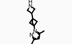 Cc1cc(C)n(C23CC(C4CNC4)(C2)C3)n1